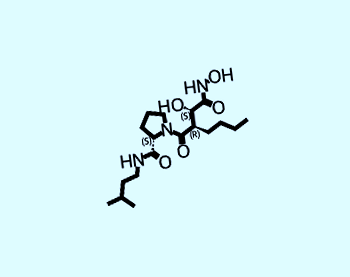 CCCC[C@@H](C(=O)N1CCC[C@H]1C(=O)NCCC(C)C)[C@H](O)C(=O)NO